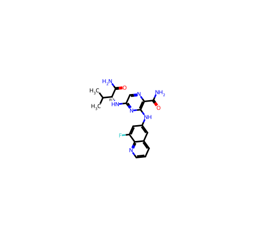 CC(C)[C@@H](Nc1cnc(C(N)=O)c(Nc2cc(F)c3ncccc3c2)n1)C(N)=O